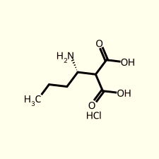 CCC[C@H](N)C(C(=O)O)C(=O)O.Cl